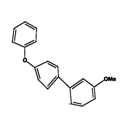 COc1cc[c]c(-c2ccc(Oc3ccccc3)cc2)c1